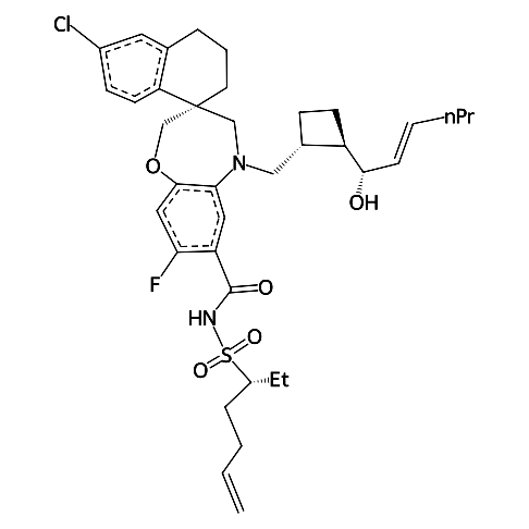 C=CCC[C@@H](CC)S(=O)(=O)NC(=O)c1cc2c(cc1F)OC[C@]1(CCCc3cc(Cl)ccc31)CN2C[C@@H]1CC[C@H]1[C@@H](O)/C=C/CCC